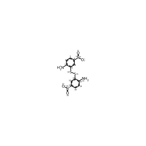 Nc1ccc([N+](=O)[O-])cc1SSc1cc([N+](=O)[O-])ccc1N